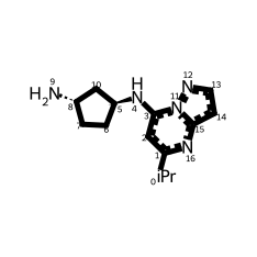 CC(C)c1cc(N[C@H]2CC[C@H](N)C2)n2nccc2n1